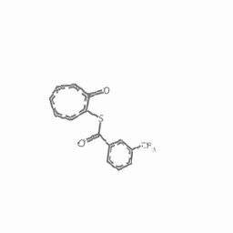 O=C(Sc1cccccc1=O)c1cccc(C(F)(F)F)c1